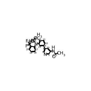 CC(=O)Nc1cncc(-c2ccc(C)c(N(c3ccccc3C(F)(F)F)[SH](=O)=O)c2)c1